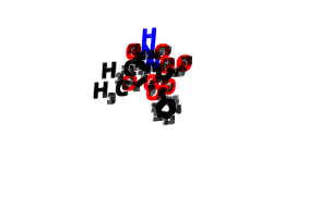 COCCO[C@@H]1[C@H](OC(=O)c2ccccc2)[C@@H](C=O)O[C@H]1n1cc(C)c(=O)[nH]c1=O